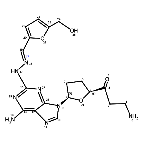 NCCC(=O)[C@@H]1CC[C@H](n2cnc3c(N)nc(N/N=C/c4ccc(CO)o4)nc32)O1